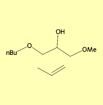 C=CC.CCCCOCC(O)COC